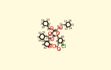 O=C(O)c1cc(C2OC(COCc3ccccc3)[C@@H](OCc3ccccc3)C(OCc3ccccc3)[C@H]2OCc2ccccc2)ccc1Cl